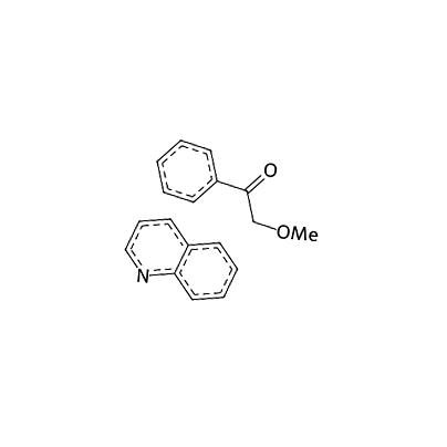 COCC(=O)c1ccccc1.c1ccc2ncccc2c1